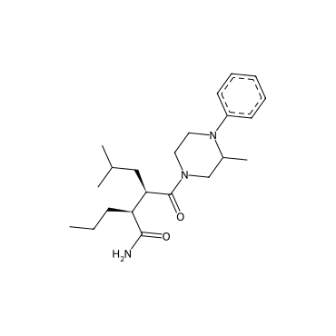 CCC[C@H](C(N)=O)[C@@H](CC(C)C)C(=O)N1CCN(c2ccccc2)C(C)C1